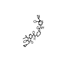 CC(C)n1c(=O)n(CC2CC2)c(=O)c2cc(C(=O)NC3CCCN(C(=O)Nc4cnc(C#N)c(Cl)c4)C3)ccc21